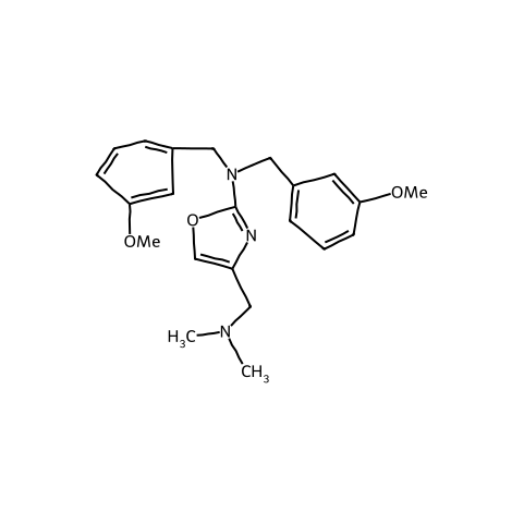 COc1cccc(CN(Cc2cccc(OC)c2)c2nc(CN(C)C)co2)c1